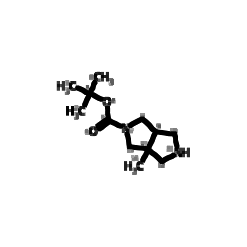 CC(C)(C)OC(=O)N1CC2CNCC2(C)C1